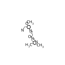 COc1ccc(N2CC(CC(=O)N3Cc4nc(C)cc(C)c4C3)C2)cc1CC#N